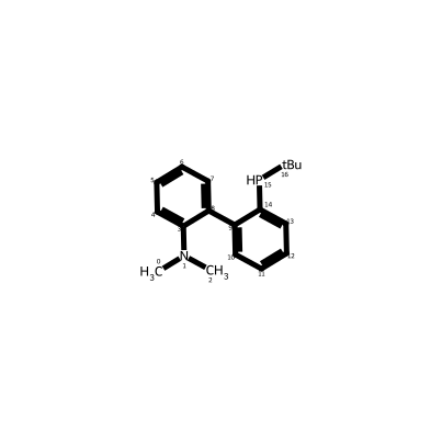 CN(C)c1ccccc1-c1ccccc1PC(C)(C)C